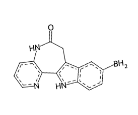 Bc1ccc2[nH]c3c(c2c1)CC(=O)Nc1cccnc1-3